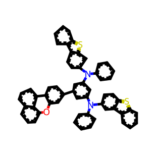 c1ccc(N(c2cc(-c3ccc4c(c3)Oc3cccc5cccc-4c35)cc(N(c3ccccc3)c3ccc4sc5ccccc5c4c3)c2)c2ccc3c(c2)sc2ccccc23)cc1